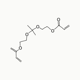 C=CC(=C)OCCOC(C)(C)OCCOC(=O)C=C